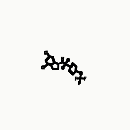 O=S(=O)(N[C@@H]1CCc2c(Cl)cc(Cl)cc21)c1ccc(OC(F)(F)F)cc1